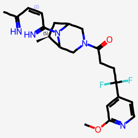 COc1cc(C(F)(F)CCC(=O)N2CC3C[C@H](C)C(C2)N3C(=N)/C=C\C(C)=N)ccn1